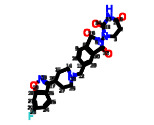 O=C1CCN(N2C(=O)c3ccc(CN4CCC(c5noc6cc(F)ccc56)CC4)cc3C2=O)C(=O)N1